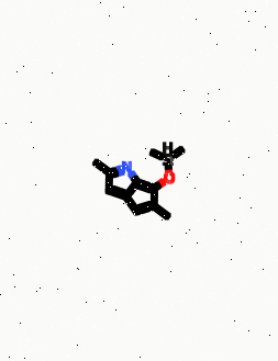 CC1=CC2=CC(C)=NC2=C1O[SiH](C)C